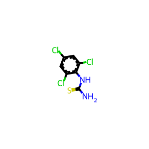 NC(=S)Nc1c(Cl)cc(Cl)cc1Cl